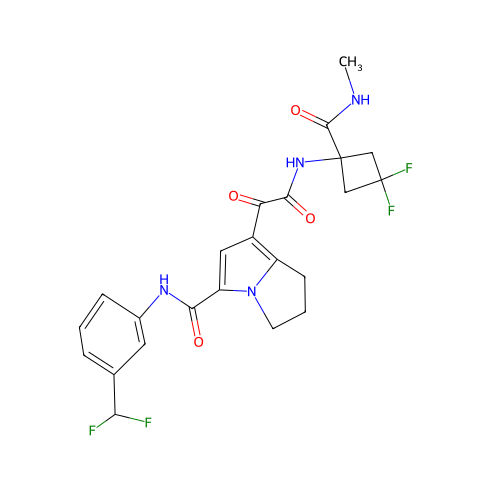 CNC(=O)C1(NC(=O)C(=O)c2cc(C(=O)Nc3cccc(C(F)F)c3)n3c2CCC3)CC(F)(F)C1